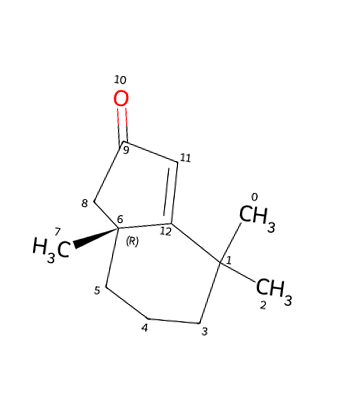 CC1(C)CCC[C@]2(C)CC(=O)C=C12